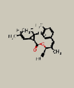 C#CC(OC(=O)C1C(C=C(C)C)C1(C)C)C(C)=Cc1ccc(C)cc1